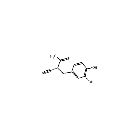 CC(=S)C(C#N)Cc1ccc(O)c(O)c1